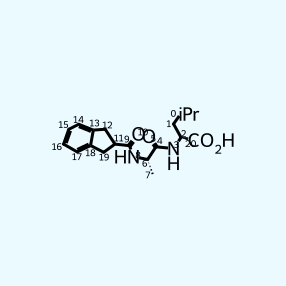 CC(C)C[C@H](NC(=O)[C@H](C)NC(=O)C1Cc2ccccc2C1)C(=O)O